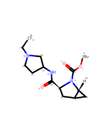 CC(C)(C)OC(=O)N1[C@@H]2CC2C[C@H]1C(=O)NC1CCN(CC(F)(F)F)C1